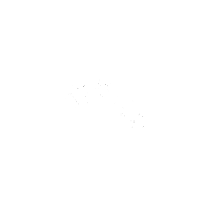 CCn1c(SCC(=O)Nc2ccccc2)nnc1-c1ccc(C)nc1